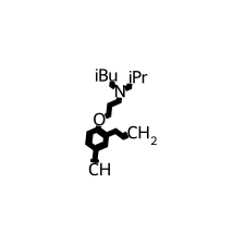 C#Cc1ccc(OCCCN(CC(C)C)CC(C)CC)c(CC=C)c1